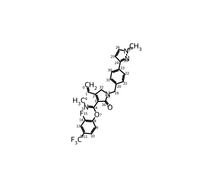 C=CC1=C(/C(=N\C)Oc2ccc(C(F)(F)F)cc2F)C(=O)N(Cc2ccc(-c3ccn(C)n3)cc2)C1